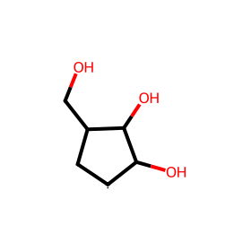 OCC1C[CH]C(O)C1O